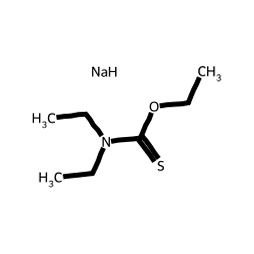 CCOC(=S)N(CC)CC.[NaH]